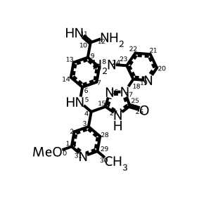 COc1cc(C(Nc2ccc(C(=N)N)cc2)c2nn(-c3ncccc3N)c(=O)[nH]2)cc(C)n1